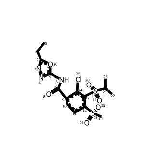 CCc1nnc(NC(=O)c2ccc(S(C)(=O)=O)c(S(=O)(=O)C(C)C)c2Cl)o1